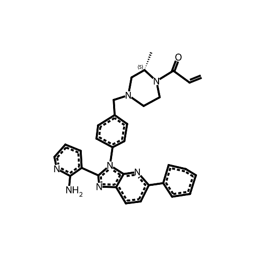 C=CC(=O)N1CCN(Cc2ccc(-n3c(-c4cccnc4N)nc4ccc(-c5ccccc5)nc43)cc2)C[C@@H]1C